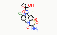 N[C@H]1CS(=O)(=O)c2cc(F)c(-c3noc(C4(CO)CCCO4)n3)cc2N(Cc2ccc(Cl)cc2)C1=O